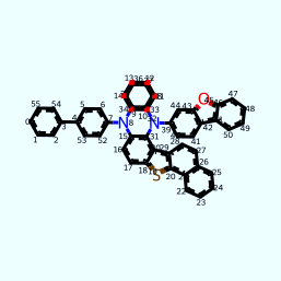 c1ccc(-c2ccc(N(c3ccccc3)c3ccc4sc5c6ccccc6ccc5c4c3N(c3ccccc3)c3ccc4c(c3)oc3ccccc34)cc2)cc1